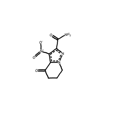 NC(=O)c1nn2c(c1[N+](=O)[O-])C(=O)CCC2